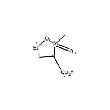 CCOP(C)(=O)C(C)C(=O)O